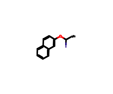 CCCC(I)Oc1ccc2ccccc2c1